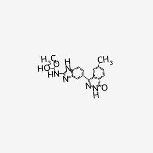 COC(O)Nc1nc2cc(-c3n[nH]c(=O)c4ccc(C)cc34)ccc2[nH]1